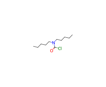 CCCCCN(CCCCC)C(=O)Cl